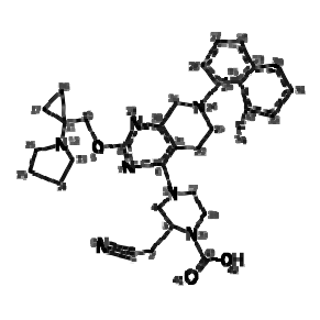 N#CCC1CN(c2nc(OCC3(N4CCCC4)CC3)nc3c2CCN(c2cccc4cccc(F)c24)C3)CCN1C(=O)O